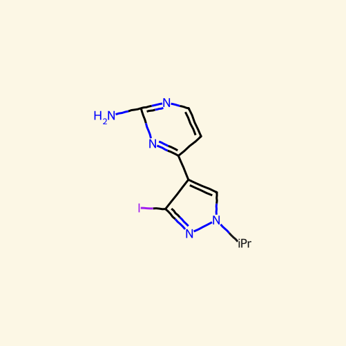 CC(C)n1cc(-c2ccnc(N)n2)c(I)n1